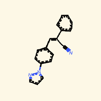 N#CC(=Cc1ccc(-n2cccn2)cc1)c1ccccc1